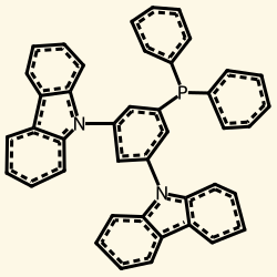 c1ccc(P(c2ccccc2)c2cc(-n3c4ccccc4c4ccccc43)cc(-n3c4ccccc4c4ccccc43)c2)cc1